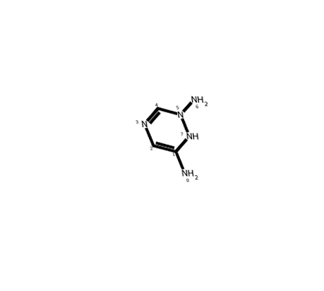 NC1=CN=CN(N)N1